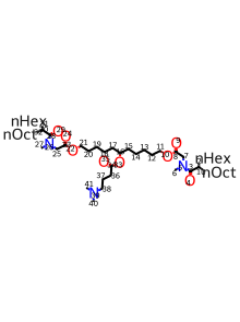 CCCCCCCCC(CCCCCC)C(=O)N(C)CC(=O)OCCCCCC(CCCCCOC(=O)CN(C)C(=O)C(CCCCCC)CCCCCCCC)OC(=O)CCCN(C)C